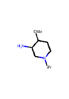 COC1CCN(C(C)C)CC1N